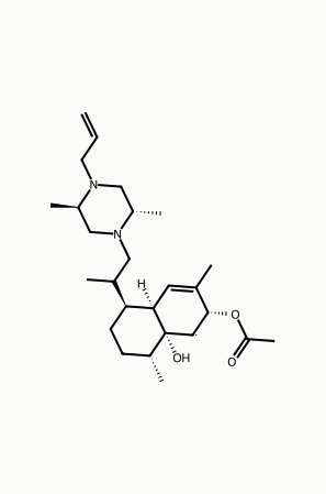 C=CCN1C[C@H](C)N(CC(C)[C@@H]2CC[C@@H](C)[C@]3(O)[CH][C@@H](OC(C)=O)C(C)=C[C@H]23)C[C@H]1C